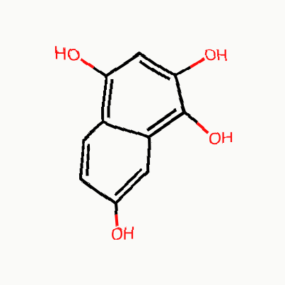 Oc1ccc2c(O)cc(O)c(O)c2c1